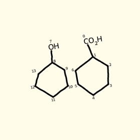 O=C(O)C1CCCCC1.OC1CCCCC1